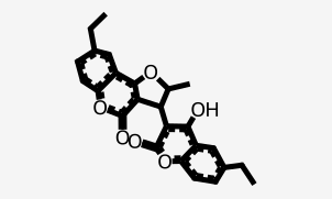 CCc1ccc2oc(=O)c(C3c4c(c5cc(CC)ccc5oc4=O)OC3C)c(O)c2c1